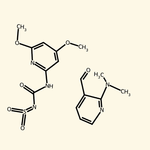 CN(C)c1ncccc1C=O.COc1cc(NC(=O)N=S(=O)=O)nc(OC)c1